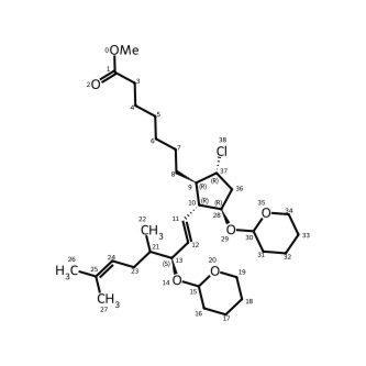 COC(=O)CCCCCC[C@@H]1[C@@H](C=C[C@@H](OC2CCCCO2)C(C)CC=C(C)C)[C@H](OC2CCCCO2)C[C@H]1Cl